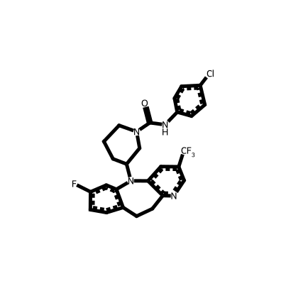 O=C(Nc1ccc(Cl)cc1)N1CCCC(N2c3cc(F)ccc3CCc3ncc(C(F)(F)F)cc32)C1